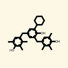 Cc1cc(Cc2cc(Cc3cc(C)c(O)c(C)c3C)c(O)c(C3CCCCC3)c2)c(C)c(C)c1O